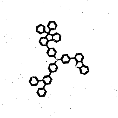 c1ccc(-c2ccc(-c3ccc(N(c4ccc(-c5cccc6c5-c5ccccc5C6(c5ccccc5)c5ccccc5)cc4)c4ccc(-c5cccc6c5oc5ccccc56)cc4)cc3)cc2-c2ccccc2)cc1